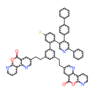 O=c1oc2ncccc2c2ncc(CCc3cc(CCc4cnc5c(c4)c(=O)oc4ncccc45)cc(-c4cc(F)ccc4-c4cnc(-c5ccccc5)cc4-c4ccc(-c5ccccc5)cc4)c3)cc12